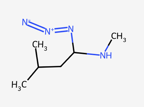 CNC(CC(C)C)N=[N+]=[N-]